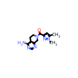 Cc1cc(C(=O)N2CCc3c(N)ncnc3C2)nn1C